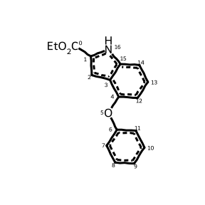 CCOC(=O)c1cc2c(Oc3ccccc3)cccc2[nH]1